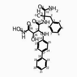 CC(Cc1ccccc1)(NC(=O)C(Nc1ccc(-c2ccccc2)cc1)C(O)C(=O)NO)C(N)=O